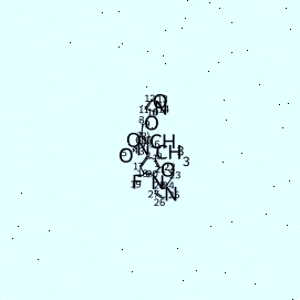 Cc1c(N2C(=O)O[C@@H](COc3ccon3)[C@@H]2C)cc(F)c2c1OCc1nccn1-2